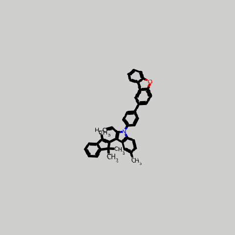 C=Cc1c(C2=C(C)c3ccccc3C2(C)C)c2cc(C)ccc2n1-c1ccc(-c2ccc3oc4ccccc4c3c2)cc1